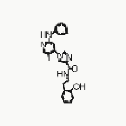 Cc1cnc(Nc2ccccc2)cc1-n1cnc(C(=O)NCCc2ccccc2O)c1